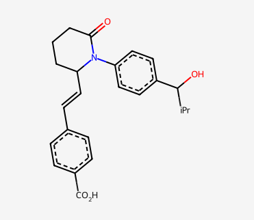 CC(C)C(O)c1ccc(N2C(=O)CCCC2/C=C/c2ccc(C(=O)O)cc2)cc1